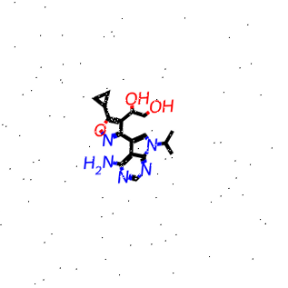 CC(C)n1cc(-c2noc(C3CC3)c2C(O)CO)c2c(N)ncnc21